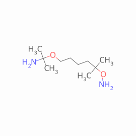 CC(C)(N)OCCCCC(C)(C)ON